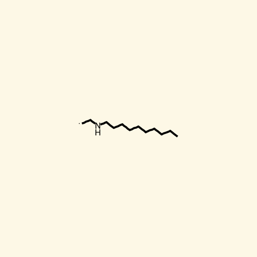 [CH2]CNCCCCCCCCCC